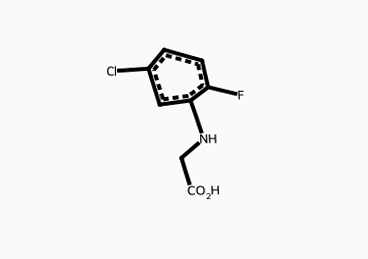 O=C(O)CNc1cc(Cl)ccc1F